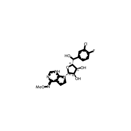 CON=c1nc[nH]c2c1ccn2[C@@H]1O[C@H](C(O)c2ccc(F)c(Cl)c2)[C@@H](O)[C@H]1O